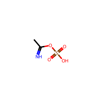 CC(=N)OS(=O)(=O)O